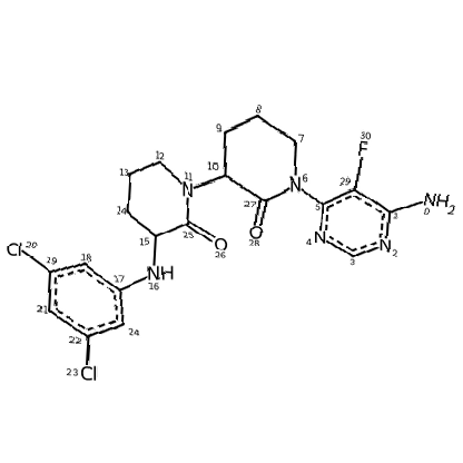 Nc1ncnc(N2CCCC(N3CCCC(Nc4cc(Cl)cc(Cl)c4)C3=O)C2=O)c1F